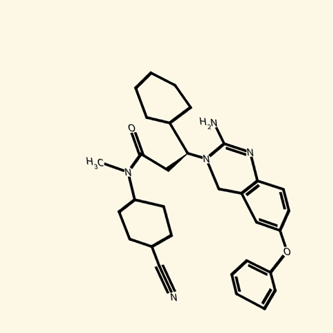 CN(C(=O)C[C@@H](C1CCCCC1)N1Cc2cc(Oc3ccccc3)ccc2N=C1N)C1CCC(C#N)CC1